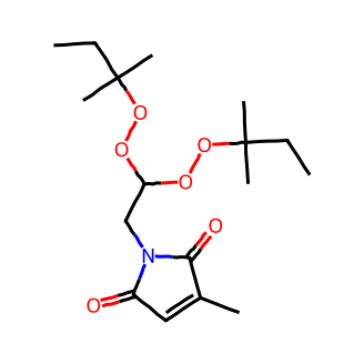 CCC(C)(C)OOC(CN1C(=O)C=C(C)C1=O)OOC(C)(C)CC